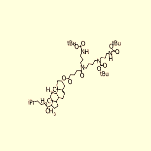 CC(C)CCCC(C)C1CCC2C3CC=C4CC(OC(=O)CCCC(=O)N(CCCCN(CCCNC(=O)OC(C)(C)C)C(=O)OC(C)(C)C)CCCNC(=O)OC(C)(C)C)CCC4(C)C3CCC12C